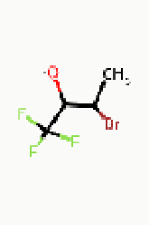 CC(Br)C([O])C(F)(F)F